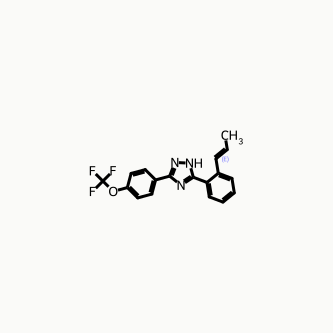 C/C=C/c1ccccc1-c1nc(-c2ccc(OC(F)(F)F)cc2)n[nH]1